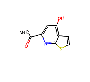 COC(=O)c1cc(O)c2ccsc2n1